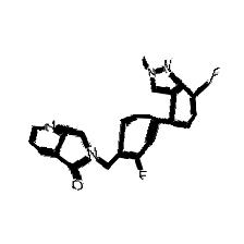 Cn1cc2c(-c3ccc(CN4Cc5ncccc5C4=O)c(F)c3)ccc(F)c2n1